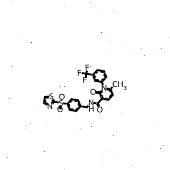 Cc1ccc(C(=O)NCc2ccc(S(=O)(=O)c3nccs3)cc2)c(=O)n1-c1cccc(C(F)(F)F)c1